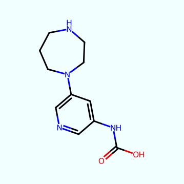 O=C(O)Nc1cncc(N2CCCNCC2)c1